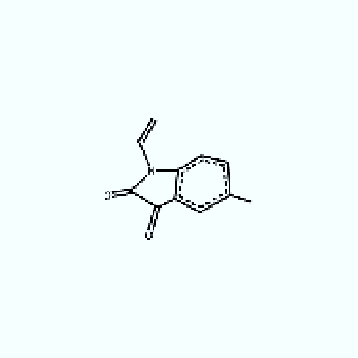 C=CN1C(=O)C(=O)c2cc(I)ccc21